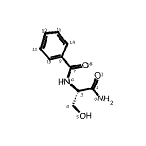 NC(=O)[C@H](CO)NC(=O)c1ccccc1